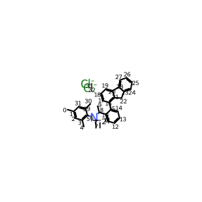 Cc1cc(C)c([N]([Ti+2])C(C)c2ccccc2-c2cccc3c2Cc2ccccc2-3)c(C)c1.[Cl-].[Cl-]